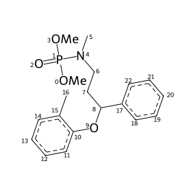 COP(=O)(OC)N(C)CCC(Oc1ccccc1C)c1ccccc1